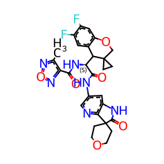 Cc1nonc1C(=O)N[C@H](C(=O)Nc1cnc2c(c1)NC(=O)C21CCOCC1)C1c2cc(F)c(F)cc2OCC12CC2